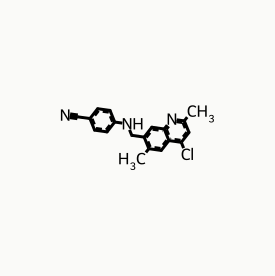 Cc1cc(Cl)c2cc(C)c(CNc3ccc(C#N)cc3)cc2n1